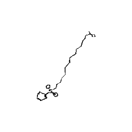 CC(=O)CCCCCCCCCCCCCCS(=O)(=O)c1ccccc1